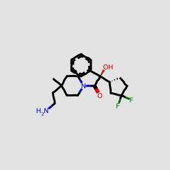 CC1(CCN)CCN(C(=O)[C@](O)(c2ccccc2)[C@@H]2CCC(F)(F)C2)CC1